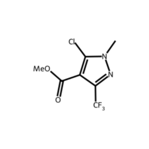 COC(=O)c1c(C(F)(F)F)nn(C)c1Cl